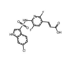 O=C(O)C=Cc1cc(F)c(NS(=O)(=O)c2c[nH]c3cc(Cl)ccc23)nc1F